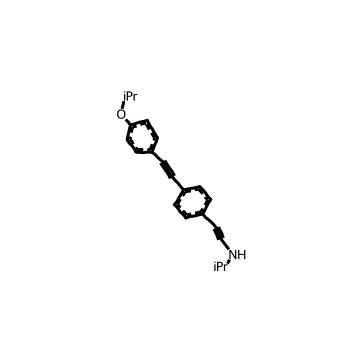 CC(C)NC#Cc1ccc(C#Cc2ccc(OC(C)C)cc2)cc1